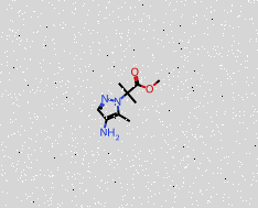 COC(=O)C(C)(C)n1ncc(N)c1C